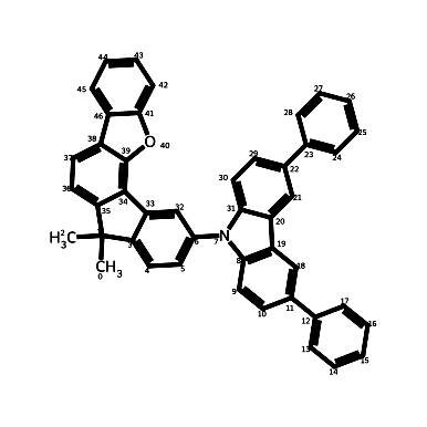 CC1(C)c2ccc(-n3c4ccc(-c5ccccc5)cc4c4cc(-c5ccccc5)ccc43)cc2-c2c1ccc1c2oc2ccccc21